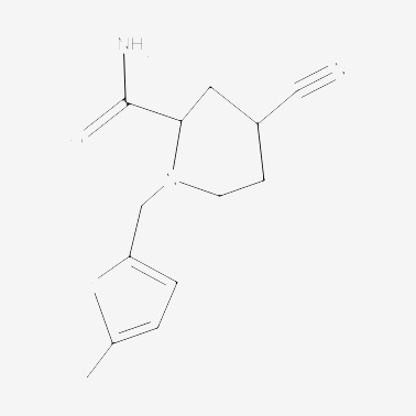 Cc1ccc(CN2CC[C](C#N)CC2C(N)=O)s1